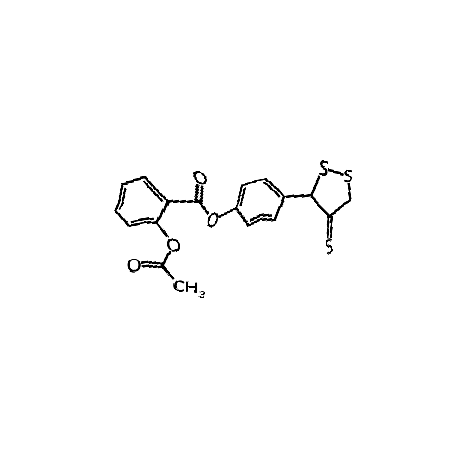 CC(=O)Oc1ccccc1C(=O)Oc1ccc(C2SSCC2=S)cc1